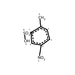 Cc1ccc([N+](=O)[O-])cc1.O=S(=O)(O)O